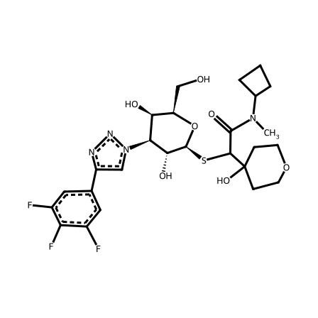 CN(C(=O)C(S[C@@H]1O[C@H](CO)[C@H](O)[C@H](n2cc(-c3cc(F)c(F)c(F)c3)nn2)[C@H]1O)C1(O)CCOCC1)C1CCC1